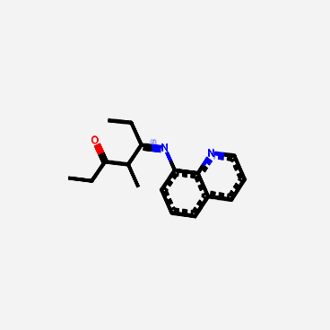 CCC(=O)C(C)/C(CC)=N\c1cccc2cccnc12